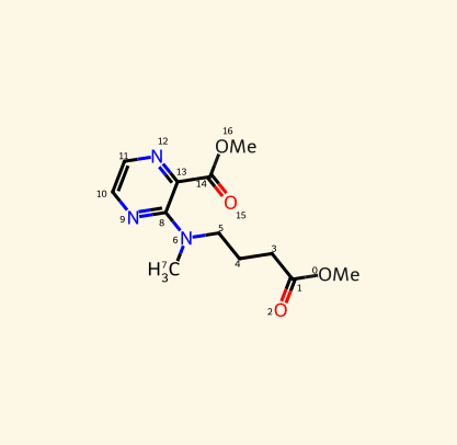 COC(=O)CCCN(C)c1nccnc1C(=O)OC